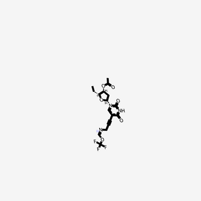 CC[C@H]1O[C@@H](n2cc(C#CC/N=C\OC(F)(F)F)c(=O)[nH]c2=O)C[C@H]1OC(C)=O